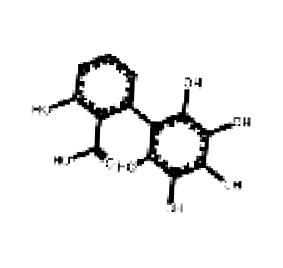 O=C(O)c1c(O)cccc1-c1c(O)c(O)c(O)c(O)c1O